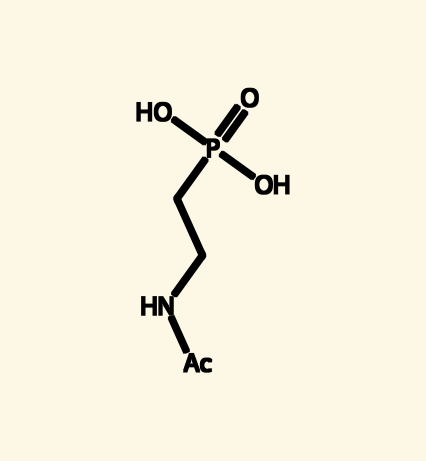 CC(=O)NCCP(=O)(O)O